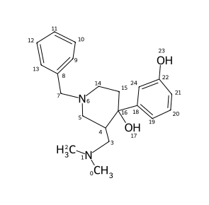 CN(C)CC1CN(Cc2ccccc2)CCC1(O)c1cccc(O)c1